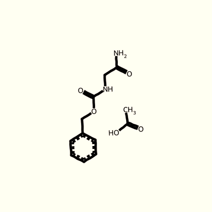 CC(=O)O.NC(=O)CNC(=O)OCc1ccccc1